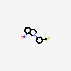 O=Nc1cccc2c1CN(c1cccc(C(F)(F)F)c1)CC2